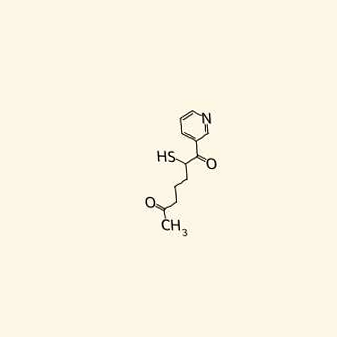 CC(=O)CCCC(S)C(=O)c1cccnc1